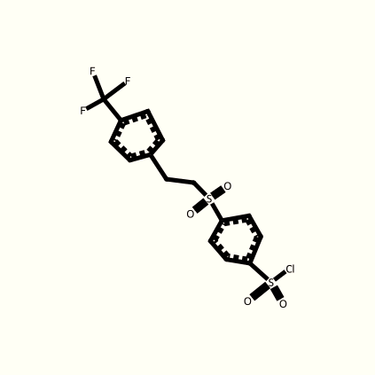 O=S(=O)(Cl)c1ccc(S(=O)(=O)CCc2ccc(C(F)(F)F)cc2)cc1